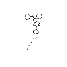 CCCCCCCCOc1ccc(-c2ncc(C3(C(=O)Oc4ccccc4)CCCCC3)cn2)cc1